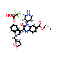 COC(=O)c1ccc2nc(-c3cn(CC4CCCO4)c4ccccc34)c(=O)n(C3CCNCC3)c2c1.O=C(O)C(F)(F)F